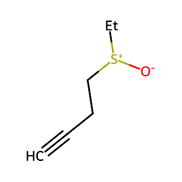 C#CCC[S+]([O-])CC